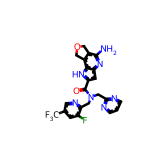 Nc1nc2cc(C(=O)N(Cc3ncccn3)Cc3ncc(C(F)(F)F)cc3F)[nH]c2c2c1COC2